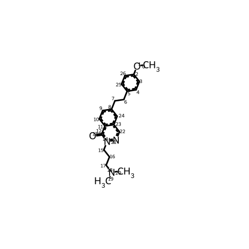 COc1ccc(CCc2ccc3c(=O)n(CCCN(C)C)ncc3c2)cc1